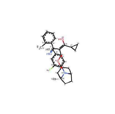 N=C(/C(COC1CC2CC[C@@H](C1)N2c1ccc(C(=O)O)cc1F)=C(\O)C1CC1)c1ccccc1C(F)(F)F